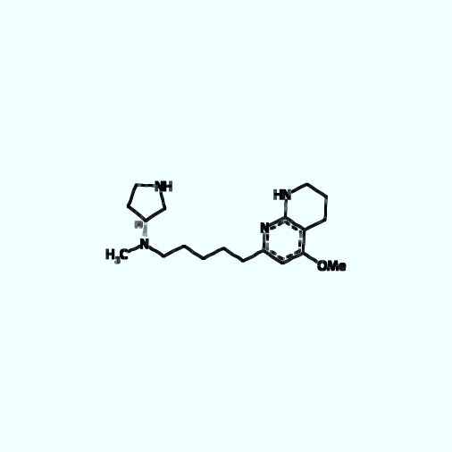 COc1cc(CCCCCN(C)[C@@H]2CCNC2)nc2c1CCCN2